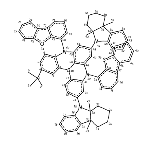 CC(C)(C)c1ccc2c(c1)B1c3ccc(N4c5ccccc5C5(C)CCCCC45C)cc3N(c3cccc4c3sc3ccccc34)c3cc(N4c5ccccc5C5(C)CCCCC45C)cc(c31)N2c1cccc2c1oc1ccccc12